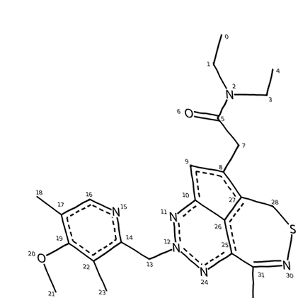 CCN(CC)C(=O)Cc1cc2nn(Cc3ncc(C)c(OC)c3C)nc3c-2c1CSN=C3N